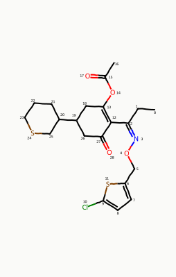 CC/C(=N/OCc1ccc(Cl)s1)C1=C(OC(C)=O)CC(C2CCCSC2)CC1=O